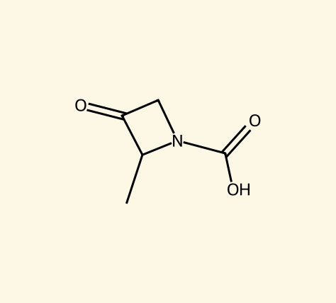 CC1C(=O)CN1C(=O)O